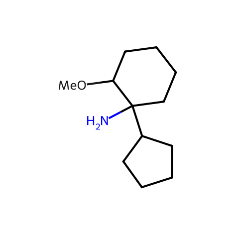 COC1CCCCC1(N)C1CCCC1